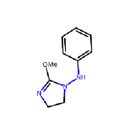 COC1=NCCN1Nc1ccccc1